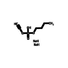 C#COP(=O)(O)OCCCC.[NaH].[NaH]